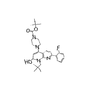 CC(C)(C)CN1c2nc(-c3ccccc3F)ccc2C(N2CCN(C(=O)OC(C)(C)C)CC2)=CC1O